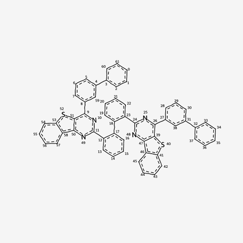 c1ccc(-c2cccc(-c3nc(-c4ccccc4-c4ccccc4-c4nc(-c5cccc(-c6ccccc6)c5)c5sc6ccccc6c5n4)nc4c3sc3ccccc34)c2)cc1